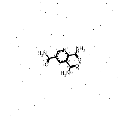 NC(=O)c1cnc(C(N)=O)c(C(N)=O)c1